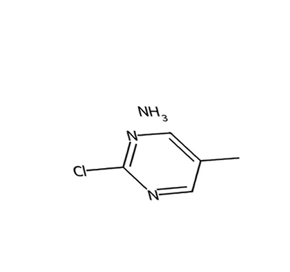 Cc1cnc(Cl)nc1.N